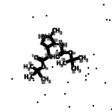 C[C@@H]1NCC(NC(=O)OC(C)(C)C)[C@H]1NC(=O)OC(C)(C)C